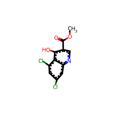 COC(=O)c1cnc2cc(Cl)cc(Cl)c2c1O